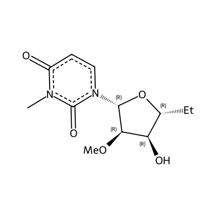 CC[C@H]1O[C@@H](n2ccc(=O)n(C)c2=O)[C@H](OC)[C@@H]1O